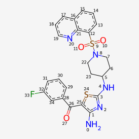 Nc1nc(NC2CCN(S(=O)(=O)c3cccc4cccnc34)CC2)sc1C(=O)c1cccc(F)c1